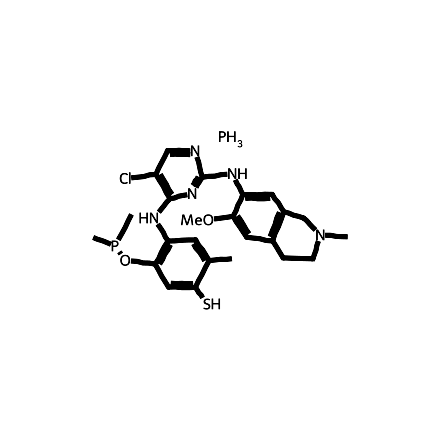 COc1cc2c(cc1Nc1ncc(Cl)c(Nc3cc(C)c(S)cc3OP(C)C)n1)CN(C)CC2.P